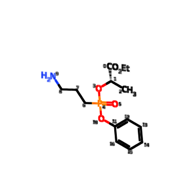 CCOC(=O)[C@H](C)OP(=O)(CCCN)Oc1ccccc1